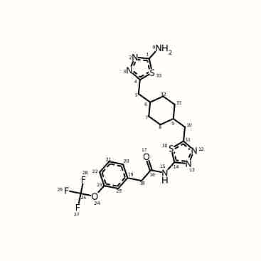 Nc1nnc(CC2CCC(Cc3nnc(NC(=O)Cc4cccc(OC(F)(F)F)c4)s3)CC2)s1